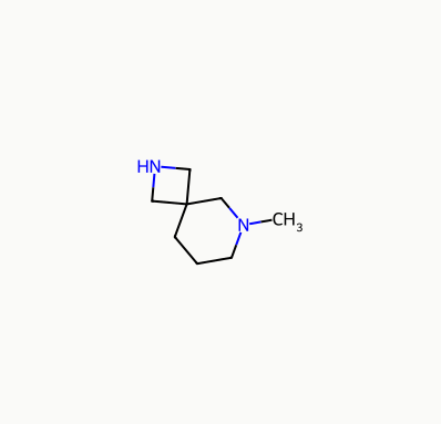 CN1CCCC2(CNC2)C1